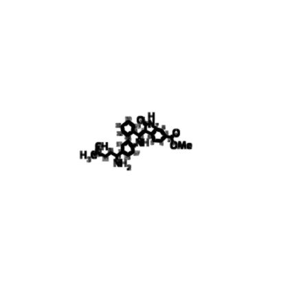 COC(=O)c1ccc2c(c1)NC(=O)C2=C(Nc1ccc(C(N)CCN(C)C)cc1)c1ccccc1